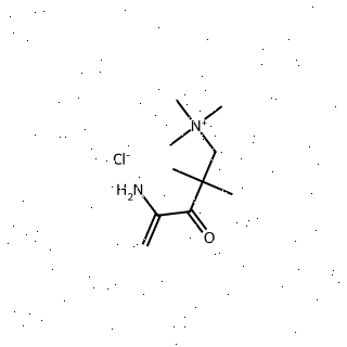 C=C(N)C(=O)C(C)(C)C[N+](C)(C)C.[Cl-]